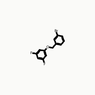 Fc1cc(F)cc(OCc2cccc(Br)c2)c1